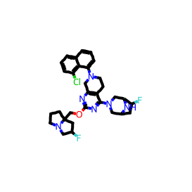 FC1CN2CCCC2(COc2nc3c(c(N4CC5CC(F)C(C4)N5)n2)CCN(c2cccc4cccc(Cl)c24)C3)C1